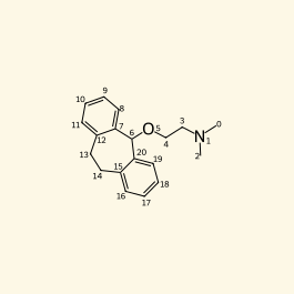 CN(C)CCOC1c2ccccc2CCc2ccccc21